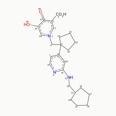 O=C(O)c1cn(CC2(c3ccnc(NCC4CCCCC4)c3)CCCC2)cc(O)c1=O